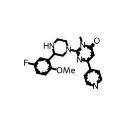 COc1ccc(F)cc1C1CN(c2nc(-c3ccncc3)cc(=O)n2C)CCN1